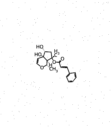 C[C@@H]1OC=C[C@@]2(O)[C@H](O)C[C@](C)(OC(=O)/C=C/c3ccccc3)[C@@H]12